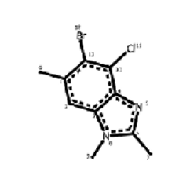 Cc1cc2c(nc(C)n2C)c(Cl)c1Br